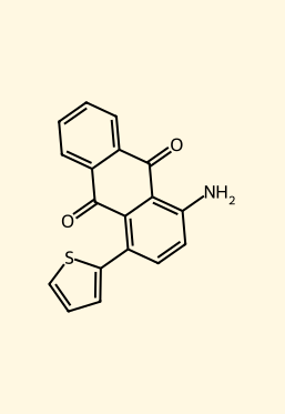 Nc1ccc(-c2cccs2)c2c1C(=O)c1ccccc1C2=O